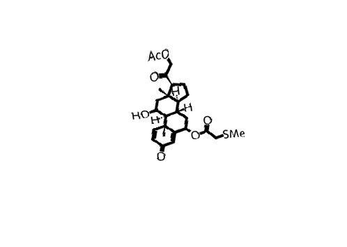 CSCC(=O)OC1C[C@H]2[C@@H]3CC[C@H](C(=O)COC(C)=O)[C@@]3(C)CC(O)[C@@H]2[C@@]2(C)C=CC(=O)C=C12